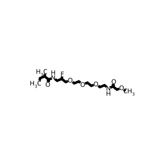 CCC(C)C(=O)NCC(F)COCCOCCOCCNC(=O)COC